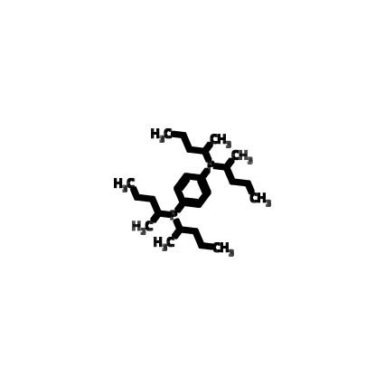 CCCC(C)P(c1ccc(P(C(C)CCC)C(C)CCC)cc1)C(C)CCC